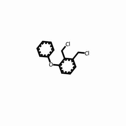 ClCc1cccc(Oc2ccccc2)c1CCl